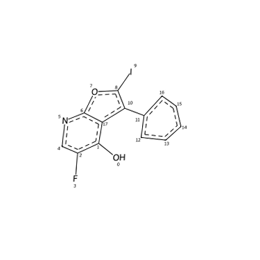 Oc1c(F)cnc2oc(I)c(-c3ccccc3)c12